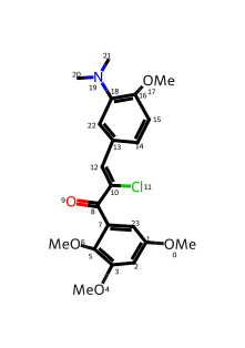 COc1cc(OC)c(OC)c(C(=O)C(Cl)=Cc2ccc(OC)c(N(C)C)c2)c1